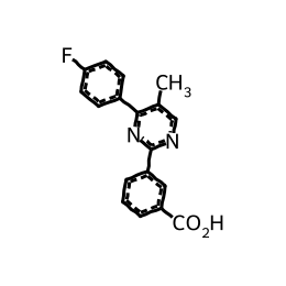 Cc1cnc(-c2cccc(C(=O)O)c2)nc1-c1ccc(F)cc1